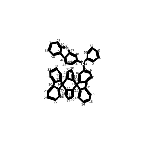 c1ccc(N(c2ccc3c(c2)C2(c4ccccc4-3)c3ccccc3C3(c4ccccc4-c4ccccc43)c3ccccc32)c2ccc3c(c2)sc2ccccc23)cc1